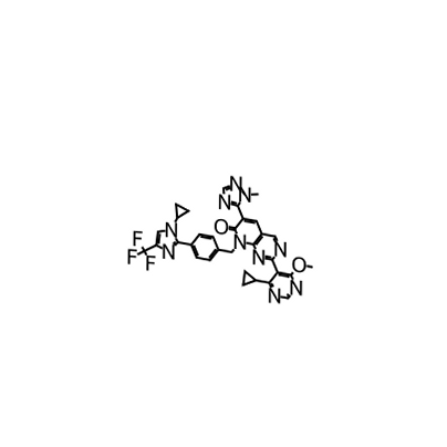 COc1ncnc(C2CC2)c1-c1ncc2cc(-c3ncnn3C)c(=O)n(Cc3ccc(-c4nc(C(F)(F)F)cn4C4CC4)cc3)c2n1